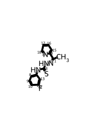 CC(=NNC(=S)Nc1cccc(F)c1)c1ccccn1